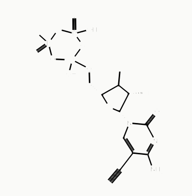 C#Cc1cn([C@@H]2O[C@H](CO[PH]3(O)OP(=O)(O)OP(=O)(O)O3)C(O)[C@@H]2O)c(=O)nc1N